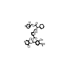 CNc1ccc([C@H](Cc2c(Cl)cncc2Cl)OC(=O)c2ccc(CNC(C(=O)OC[C@H]3CN4CCC3CC4)C3=CC=CCC3)s2)cc1OC